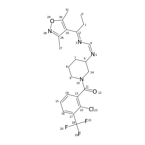 CC/C(=N\C=N/C1CCCN(C(=O)c2cccc(C(F)(F)F)c2Cl)C1)c1c(C)noc1C